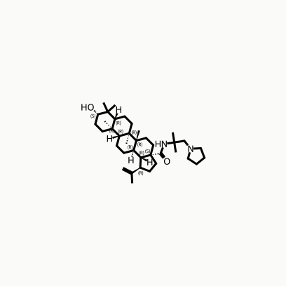 C=C(C)[C@@H]1CC[C@]2(C(=O)NC(C)(C)CN3CCCC3)CC[C@]3(C)[C@H](CC[C@@H]4[C@@]5(C)CC[C@H](O)C(C)(C)[C@@H]5CC[C@]43C)[C@@H]12